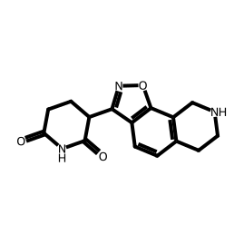 O=C1CCC(c2noc3c4c(ccc23)CCNC4)C(=O)N1